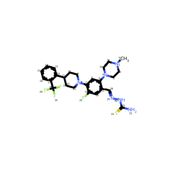 CN1CCN(c2cc(N3CCC(c4ccccc4C(F)(F)F)CC3)c(F)cc2/C=N/NC(N)=S)CC1